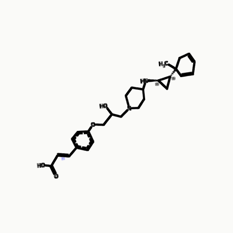 CC1([C@@H]2C[C@H]2NC2CCN(CC(O)COc3ccc(/C=C/C(=O)O)cc3)CC2)C=CC=CC1